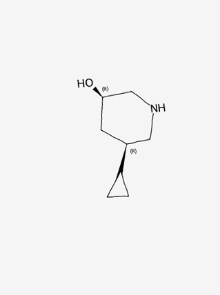 O[C@H]1CNC[C@@H](C2CC2)C1